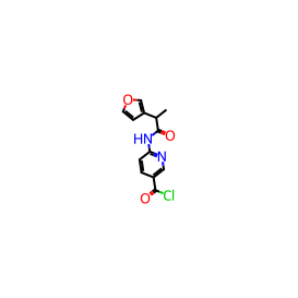 CC(C(=O)Nc1ccc(C(=O)Cl)cn1)c1ccoc1